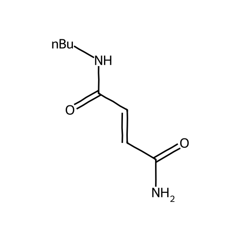 CCCCNC(=O)/C=C/C(N)=O